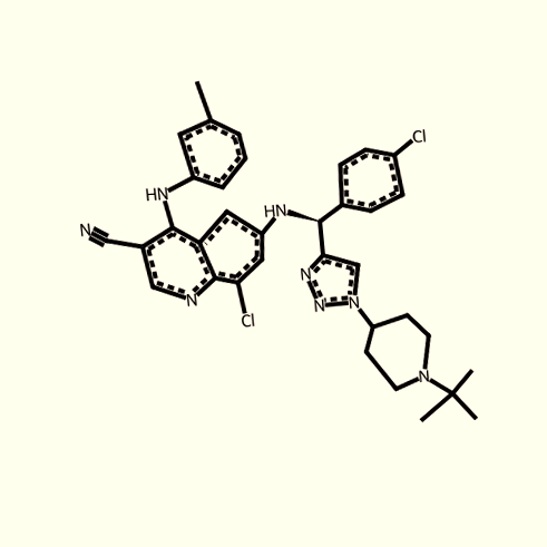 Cc1cccc(Nc2c(C#N)cnc3c(Cl)cc(N[C@@H](c4ccc(Cl)cc4)c4cn(C5CCN(C(C)(C)C)CC5)nn4)cc23)c1